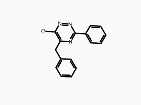 Clc1nnc(-c2ccccc2)nc1Cc1ccccc1